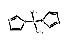 C[Si](C)(n1ccnc1)n1ccnc1